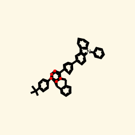 CC(C)(C)c1ccc(-c2ccc(-c3ccc(-c4ccc5c(c4)c4ccccc4n5-c4ccccc4)cc3)c3c2C2c4ccccc4C3c3ccccc32)cc1